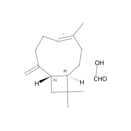 C=C1CC/C=C(\C)CC[C@@H]2[C@@H]1CC2(C)C.O=CO